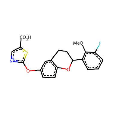 COc1c(F)cccc1C1CCc2cc(Oc3ncc(C(=O)O)s3)ccc2O1